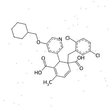 CC1=C(C(=O)O)C(c2cncc(OCC3CCCCC3)c2)C(Cc2cc(Cl)ccc2Cl)(C(=O)O)C=C1